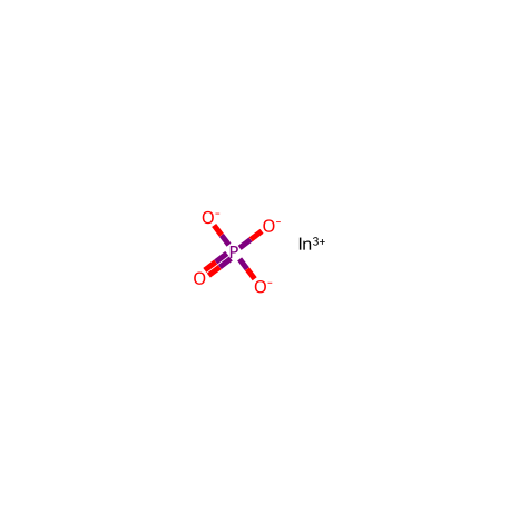 O=P([O-])([O-])[O-].[In+3]